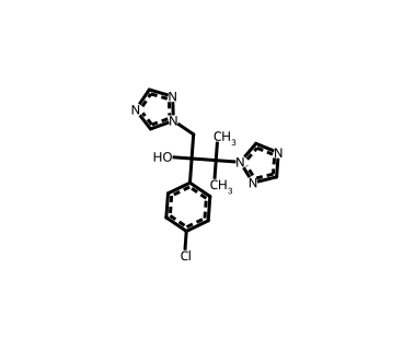 CC(C)(n1cncn1)C(O)(Cn1cncn1)c1ccc(Cl)cc1